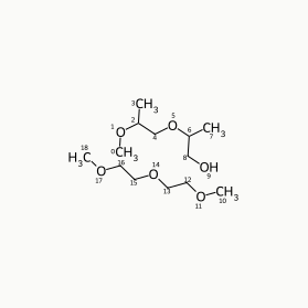 COC(C)COC(C)CO.COCCOCCOC